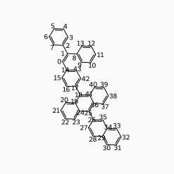 C(=C(c1ccccc1)c1ccccc1)c1ccc(-c2c3ccccc3c(-c3ccc4ccccc4c3)c3ccccc23)cc1